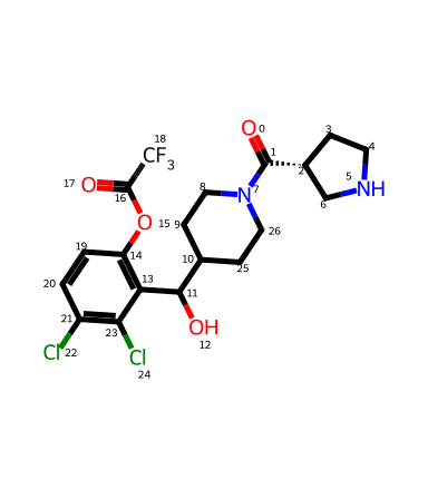 O=C([C@@H]1CCNC1)N1CCC(C(O)c2c(OC(=O)C(F)(F)F)ccc(Cl)c2Cl)CC1